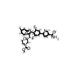 COC(=O)N1CCO[C@@H](Cc2c(-c3c(F)cc(-c4ccc(C(N)=O)cn4)cc3F)nc3cc(C)ccn23)C1